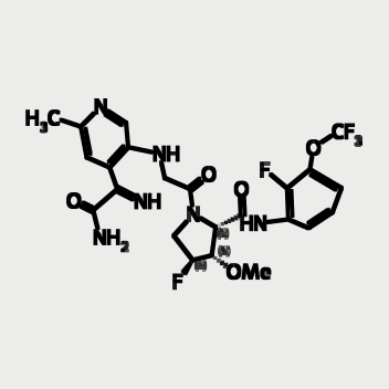 CO[C@H]1[C@@H](C(=O)Nc2cccc(OC(F)(F)F)c2F)N(C(=O)CNc2cnc(C)cc2C(=N)C(N)=O)C[C@@H]1F